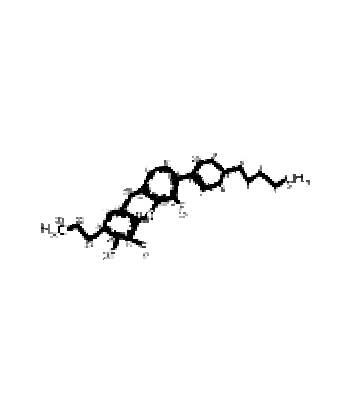 CCCCCC1CC=C(c2ccc3c(c2F)Oc2c(cc(CCC)c(F)c2F)C3)CC1